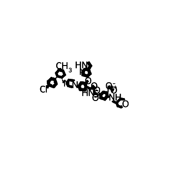 CC1=CC[C@H](CN2CCN(c3ccc(C(=O)NS(=O)(=O)c4ccc(NCC5CCOCC5)c([N+](=O)[O-])c4)c(Oc4cnc5[nH]ccc5c4)c3)CC2)[C@@H](c2ccc(Cl)cc2)C1